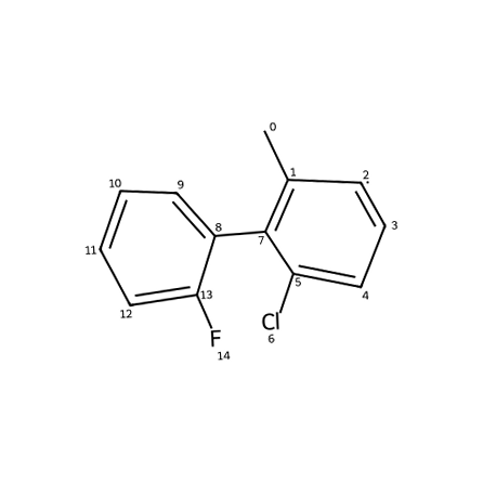 Cc1[c]ccc(Cl)c1-c1ccccc1F